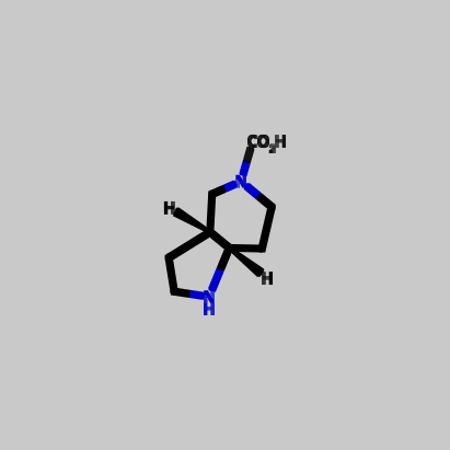 O=C(O)N1CC[C@@H]2NCC[C@@H]2C1